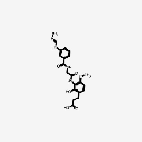 COc1ccc(CCC(=O)O)c(O)c1NC(=O)CNC(=O)c1cccc(NC=NN)c1